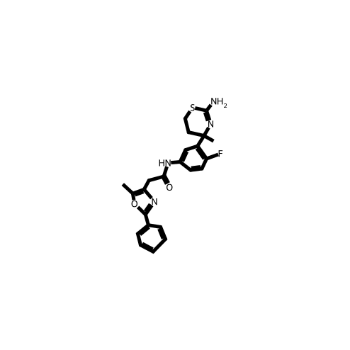 Cc1oc(-c2ccccc2)nc1CC(=O)Nc1ccc(F)c(C2(C)CCSC(N)=N2)c1